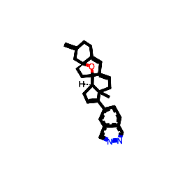 C=C1CCC2=CC3=CCC4(C)C(c5ccc6cnncc6c5)=CC[C@H]4C34CC[C@]2(C1)O4